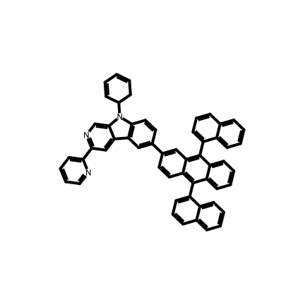 C1=CCC(n2c3ccc(-c4ccc5c(-c6cccc7ccccc67)c6ccccc6c(-c6cccc7ccccc67)c5c4)cc3c3cc(-c4ccccn4)ncc32)C=C1